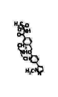 CCNCC.Cn1nccc1-c1ccc(OCc2ccc(C(=O)NS(C)(=O)=O)cc2)cc1